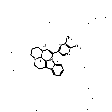 CC[C@@]12C=C(c3cnc(C)c(C)n3)n3c4c(c5ccccc53)CCN(CCC1)[C@H]42